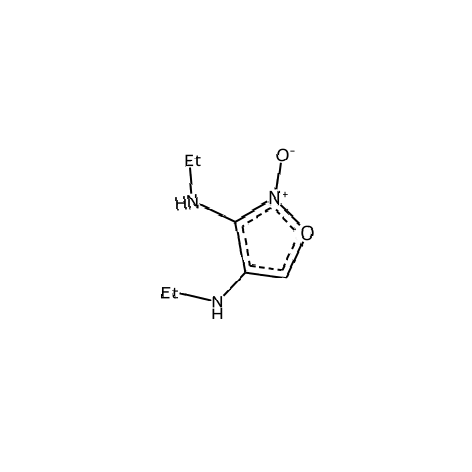 CCNc1co[n+]([O-])c1NCC